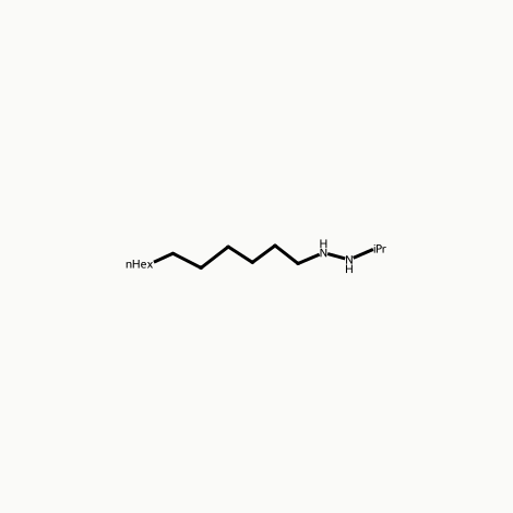 CCCCCCCCCCCCNNC(C)C